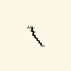 CC(=O)C=CCCCCCCCCCCC(C)=O